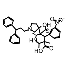 CC1N[C@@H](C)C(C(=O)O)(C2(C)CCN(CCC(c3ccccc3)c3ccccc3)C2)C(c2cccc([N+](=O)[O-])c2)C1(C)C(=O)O